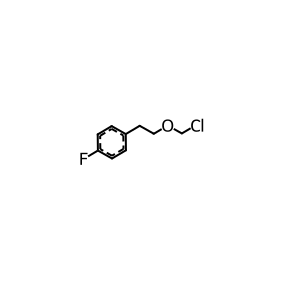 Fc1ccc(CCOCCl)cc1